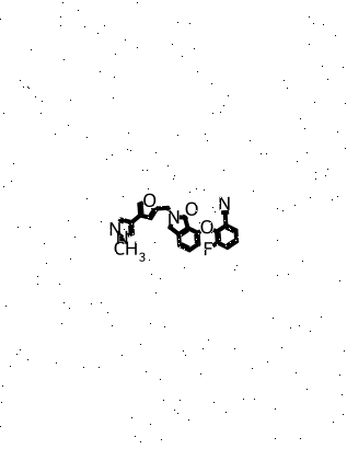 Cn1cc(-c2coc(CN3Cc4cccc(Oc5c(F)cccc5C#N)c4C3=O)c2)cn1